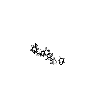 Cc1c(C(=O)NC[C@@H]2CCCO2)oc2c1-c1nn(Cc3cc(F)ccn3)cc1CC2